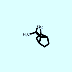 CCC(C)=C1C2CCC1C(C(C)=O)C2